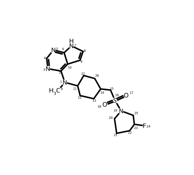 CN(c1ncnc2[nH]ccc12)C1CCC(CS(=O)(=O)N2CCCC(F)C2)CC1